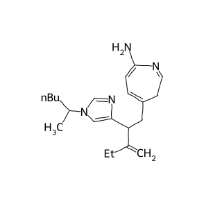 C=C(CC)C(CC1=CC=C(N)N=CC1)c1cn(C(C)CCCC)cn1